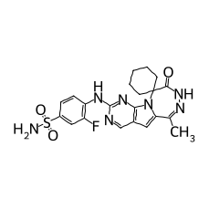 CC1=NNC(=O)C2(CCCCC2)n2c1cc1cnc(Nc3ccc(S(N)(=O)=O)cc3F)nc12